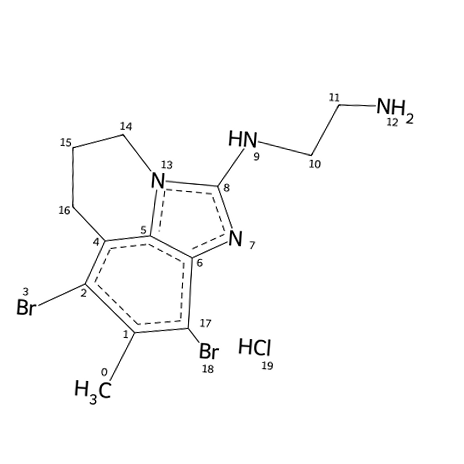 Cc1c(Br)c2c3c(nc(NCCN)n3CCC2)c1Br.Cl